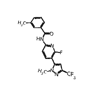 Cc1cccc(C(=O)Nc2ccc(-c3cc(C(F)(F)F)nn3C)c(F)n2)c1